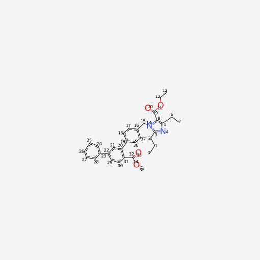 CCCc1nc(CC)c(C(=O)OCC)n1Cc1ccc(-c2cc(-c3ccccc3)ccc2C(=O)OC)cc1